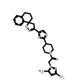 Cc1cc(C(F)(F)F)nn1CC(=O)N1CCC(c2nc(C3=NOC4(CCCc5ccccc54)C3)cs2)CC1